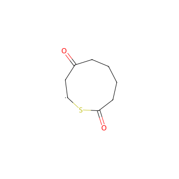 O=C1C[CH]SC(=O)CCCC1